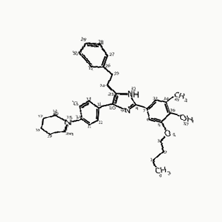 CCCCOc1cc(-c2nc(-c3ccc(N4CCCCC4)cc3)c(CCc3ccccc3)[nH]2)cc(C)c1O